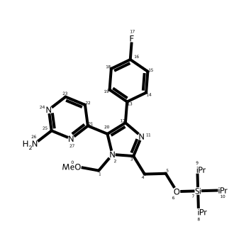 COCn1c(CCO[Si](C(C)C)(C(C)C)C(C)C)nc(-c2ccc(F)cc2)c1-c1ccnc(N)n1